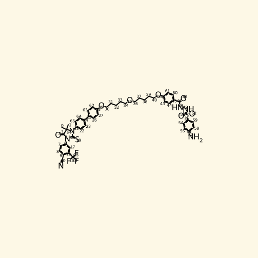 CC1(C)C(=O)N(c2ccc(C#N)c(C(F)(F)F)c2)C(=S)N1c1ccc(-c2ccc(OCCCCCOCCCCCOc3ccc(C(=O)NNS(=O)(=O)c4ccc(N)cc4)cc3)cc2)cc1